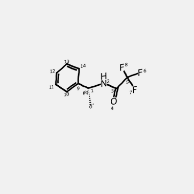 [CH2][C@@H](NC(=O)C(F)(F)F)c1ccccc1